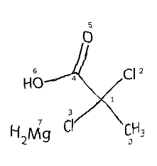 CC(Cl)(Cl)C(=O)O.[MgH2]